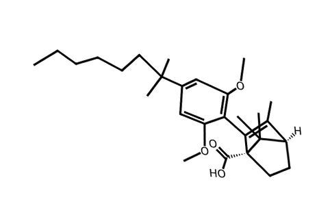 CCCCCCC(C)(C)c1cc(OC)c(C2=C(C)[C@H]3CC[C@]2(C(=O)O)C3(C)C)c(OC)c1